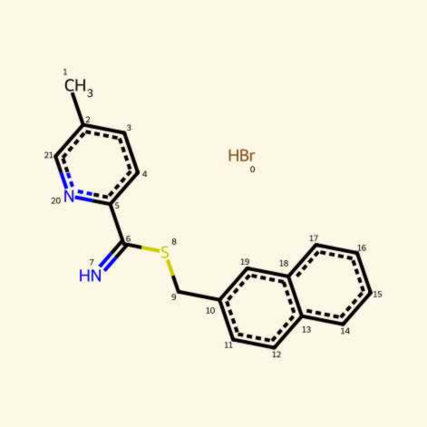 Br.Cc1ccc(C(=N)SCc2ccc3ccccc3c2)nc1